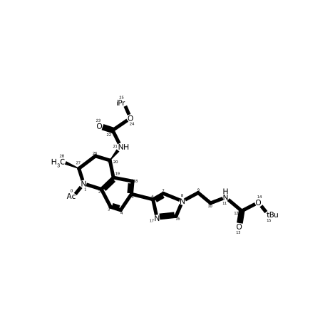 CC(=O)N1c2ccc(-c3cn(CCNC(=O)OC(C)(C)C)cn3)cc2[C@H](NC(=O)OC(C)C)C[C@@H]1C